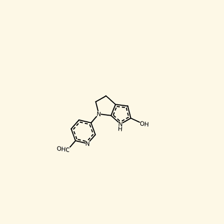 O=Cc1ccc(N2CCc3cc(O)[nH]c32)cn1